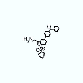 NCCc1cn(S(=O)(=O)c2ccccc2)c2ccc(-c3ccc(C(=O)c4ccccc4)cc3)cc12